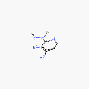 C=NN(c1nccc(N)c1N)C(C)C